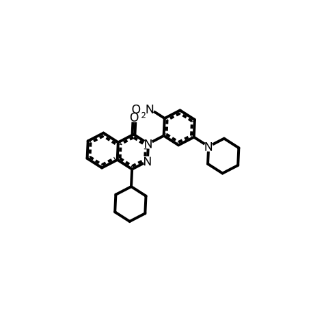 O=c1c2ccccc2c(C2CCCCC2)nn1-c1cc(N2CCCCC2)ccc1[N+](=O)[O-]